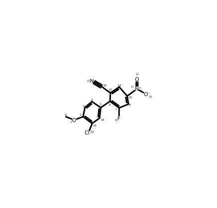 COc1ccc(-c2c(F)cc([N+](=O)[O-])cc2C#N)cc1Cl